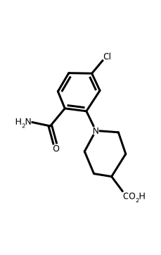 NC(=O)c1ccc(Cl)cc1N1CCC(C(=O)O)CC1